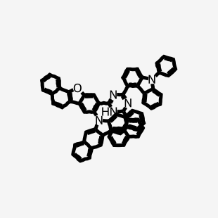 c1ccc(-n2c3ccccc3c3c(C4=NC(c5cccc6ccccc56)NC(c5cc6oc7c8ccccc8ccc7c6cc5-n5c6cc7ccccc7cc6c6cc7ccccc7cc65)=N4)cccc32)cc1